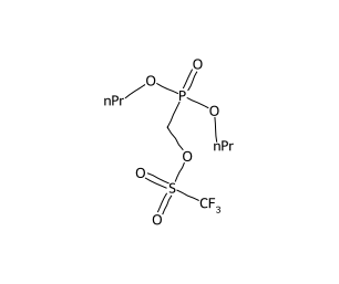 CCCOP(=O)(COS(=O)(=O)C(F)(F)F)OCCC